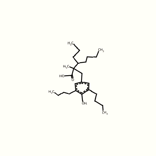 CCCCc1cc(CC(C)(C(=O)O)C(CCC)CCCC)cc(CCCC)c1O